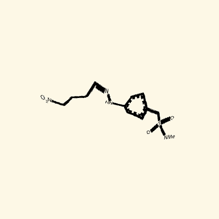 CNS(=O)(=O)Cc1ccc(N/N=C\CCC[N+](=O)[O-])cc1